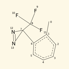 Cc1ccccc1C1(C(F)(F)F)N=N1